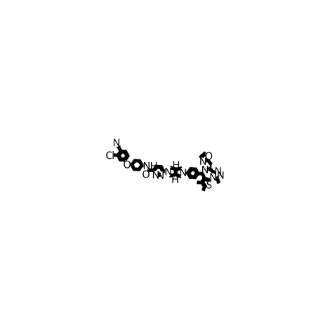 Cc1sc2c(c1C)C(c1ccc(N3C[C@@H]4CN(c5ccc(C(=O)NC6CCC(Oc7ccc(C#N)c(Cl)c7)CC6)nn5)C[C@@H]4C3)cc1)=N[C@@H](Cc1ncco1)c1nnc(C)n1-2